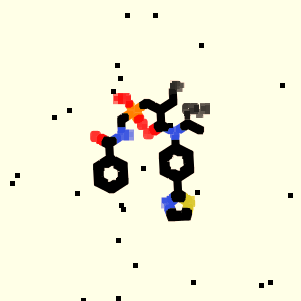 CC(C)CC(CP(=O)(O)CNC(=O)c1ccccc1)C(=O)N(c1ccc(-c2nccs2)cc1)[C@@H](C)C(=O)O